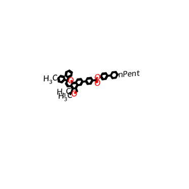 CCCCCC1CCC(c2ccc(OC(=O)c3ccc(-c4ccc5c6c(c7c(c5c4)COC7(C)C)C=CC(c4ccccc4)(c4ccc(C)cc4)O6)cc3)cc2)CC1